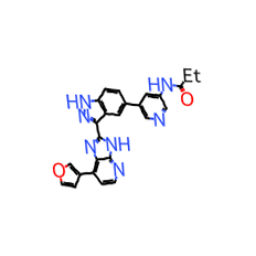 CCC(=O)Nc1cncc(-c2ccc3[nH]nc(-c4nc5c(-c6ccoc6)ccnc5[nH]4)c3c2)c1